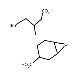 CC(CC(=O)O)CC(C)(C)C.O=C(O)C1CCC2OC2C1